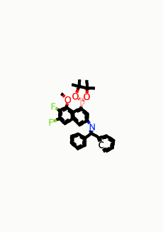 COc1c(F)c(F)cc2cc(N=C(c3ccccc3)c3ccccc3)cc(B3OC(C)(C)C(C)(C)O3)c12